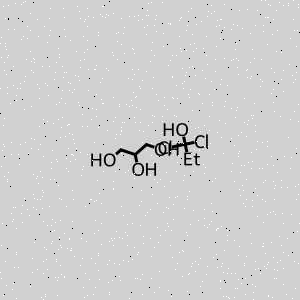 CCC(O)(Cl)Cl.OCC(O)CO